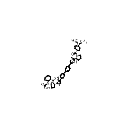 CCN(CC)[C@H]1CC[C@@H](C(=O)N2CCC[C@H]2c2ncc(-c3ccc(-c4ccc(-c5cnc([C@@H]6CCCN6C(=O)[C@H]6CCCC[C@H]6NC(=O)O)[nH]5)cc4)cc3)[nH]2)CC1